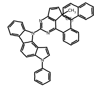 CC1(C)C=Cc2nc(-n3c4ccccc4c4ccc5c(ccn5-c5ccccc5)c43)nc(-c3ccccc3-c3cccc4ccccc34)c21